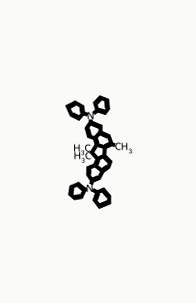 Cc1cc2cc(N(c3ccccc3)c3ccccc3)ccc2c2c1-c1ccc3cc(N(c4ccccc4)c4ccccc4)ccc3c1C2(C)C